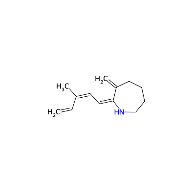 C=C/C(C)=C\C=C1\NCCCCC1=C